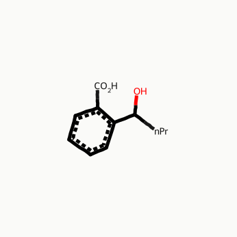 CCCC(O)c1ccccc1C(=O)O